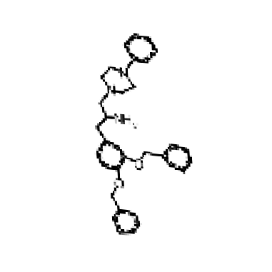 NC(Cc1ccc(OCc2ccccc2)c(OCc2ccccc2)c1)CN1CCN(c2ccccc2)CC1